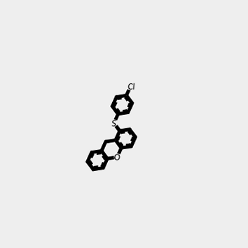 Clc1ccc(Sc2cccc3c2Cc2ccccc2O3)cc1